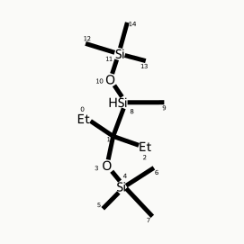 CCC(CC)(O[Si](C)(C)C)[SiH](C)O[Si](C)(C)C